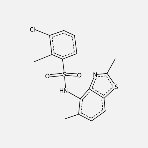 Cc1nc2c(NS(=O)(=O)c3cccc(Cl)c3C)c(C)ccc2s1